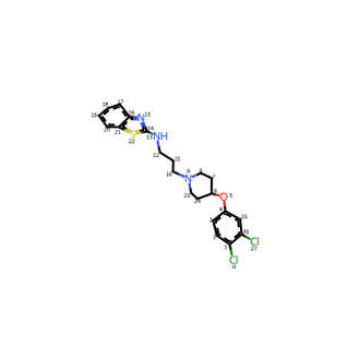 Clc1ccc(OC2CCN(CCCNc3nc4ccccc4s3)CC2)cc1Cl